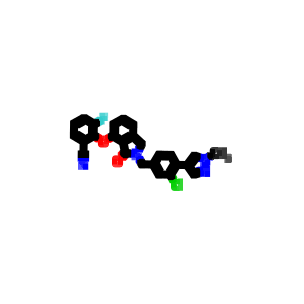 Cn1cc(-c2ccc(CN3Cc4cccc(Oc5c(F)cccc5C#N)c4C3=O)cc2Cl)cn1